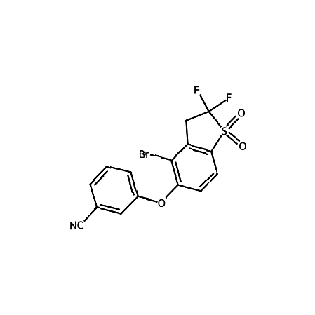 N#Cc1cccc(Oc2ccc3c(c2Br)CC(F)(F)S3(=O)=O)c1